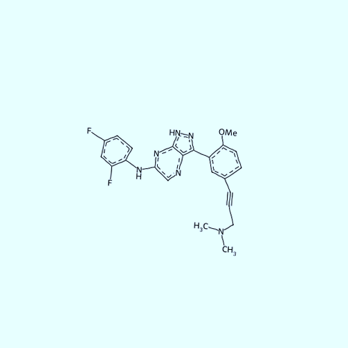 COc1ccc(C#CCN(C)C)cc1-c1n[nH]c2nc(Nc3ccc(F)cc3F)cnc12